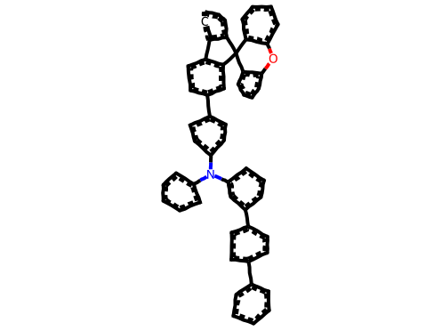 c1ccc(-c2ccc(-c3cccc(N(c4ccccc4)c4ccc(-c5ccc6c(c5)C5(c7ccccc7Oc7ccccc75)c5ccccc5-6)cc4)c3)cc2)cc1